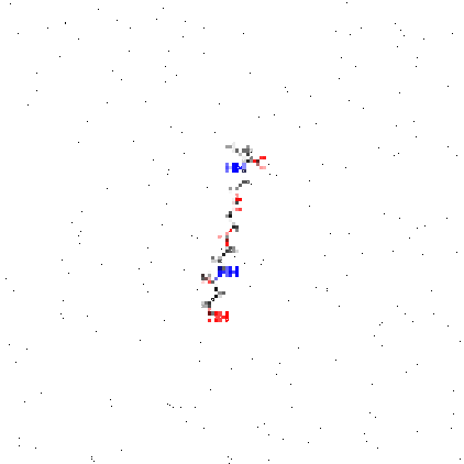 CC(=O)NCCOCCOCCNC(=O)CCO